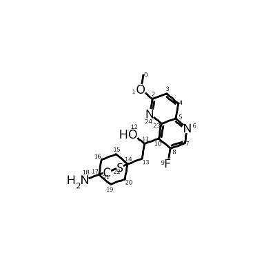 COc1ccc2ncc(F)c(C(O)CC34CCC(N)(CC3)CS4)c2n1